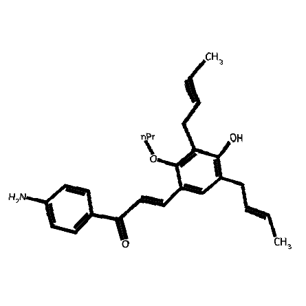 CC=CCc1cc(C=CC(=O)c2ccc(N)cc2)c(OCCC)c(CC=CC)c1O